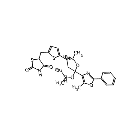 Cc1oc(-c2ccccc2)nc1C(CCc1ccc(CC2SC(=O)NC2=O)s1)(O[SiH](C)C(C)(C)C)O[SiH](C)C(C)(C)C